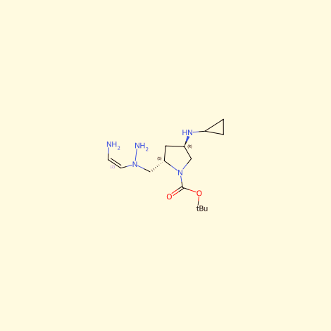 CC(C)(C)OC(=O)N1C[C@H](NC2CC2)C[C@H]1CN(N)/C=C\N